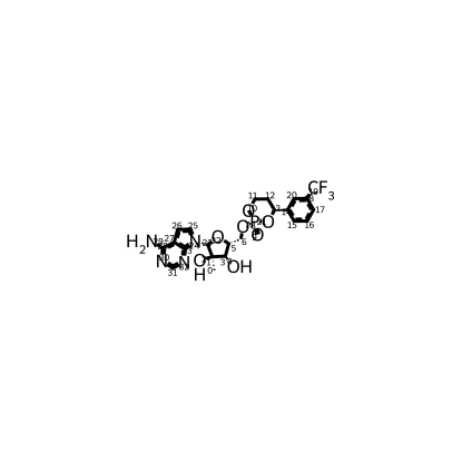 C[C@@]1(O)[C@H](O)[C@@H](CO[P@@]2(=O)OCC[C@@H](c3cccc(C(F)(F)F)c3)O2)O[C@H]1n1ccc2c(N)ncnc21